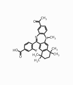 CC(=O)c1ccc2c(c1)N=C(c1ccc(C(=O)O)cc1F)c1cc3c(cc1N2C)C(C)(C)CCC3(C)C